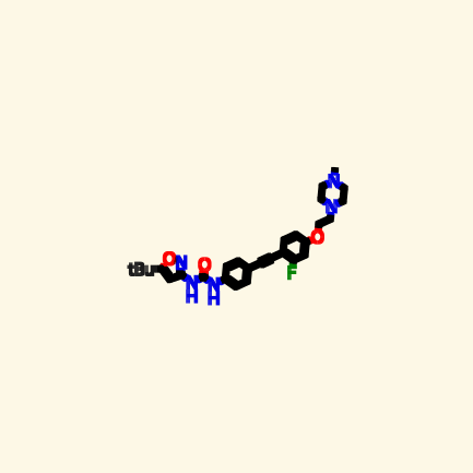 CN1CCN(CCOc2ccc(C#Cc3ccc(NC(=O)Nc4cc(C(C)(C)C)on4)cc3)c(F)c2)CC1